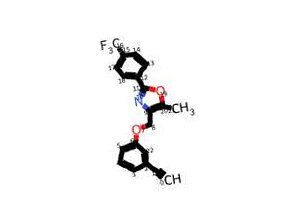 C#Cc1cccc(OCc2nc(-c3ccc(C(F)(F)F)cc3)oc2C)c1